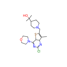 CC1=C(CN2CCC(C(C)(C)O)CC2)SC2C(N3CCOCC3)=NC(Cl)=NC12